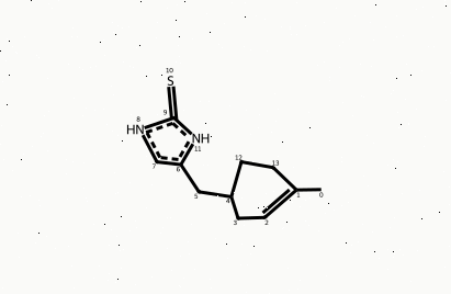 CC1=CCC(Cc2c[nH]c(=S)[nH]2)CC1